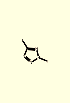 Ic1nnn(I)n1